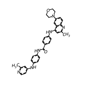 Cc1cc(Nc2ccc(NC(=O)c3ccc(Nc4cc(C)nc5ccc(N6CCOCC6)cc45)cc3)cc2)ccn1